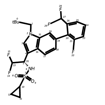 CC(C)(C)Cn1cc([C@H](NS(=O)(=O)C2CC2)C(F)F)c2ccc(-c3c(F)cccc3C(F)F)cc21